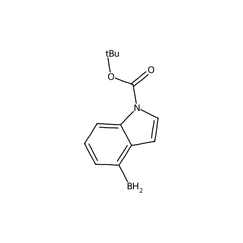 Bc1cccc2c1ccn2C(=O)OC(C)(C)C